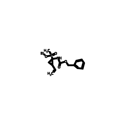 C=CC1CC1(NC(=O)OCc1ccccc1)P(C)(=O)OCC